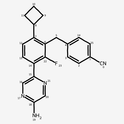 N#Cc1ccc(Cc2c(C3CCC3)ccc(-c3cnc(N)cn3)c2F)cc1